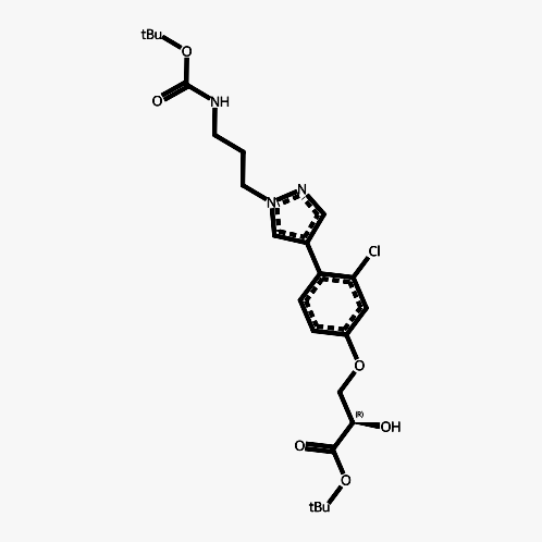 CC(C)(C)OC(=O)NCCCn1cc(-c2ccc(OC[C@@H](O)C(=O)OC(C)(C)C)cc2Cl)cn1